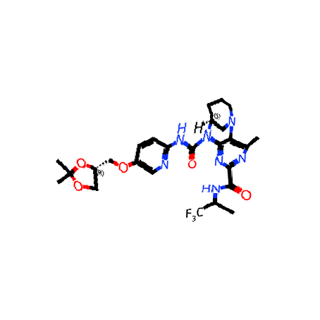 Cc1nc(C(=O)NC(C)C(F)(F)F)nc2c1N1CCC[C@@H](C1)N2C(=O)Nc1ccc(OC[C@@H]2COC(C)(C)O2)cn1